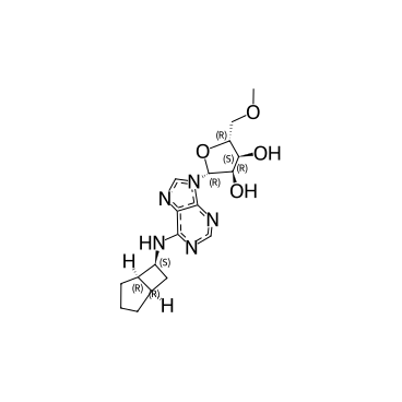 COC[C@H]1O[C@@H](n2cnc3c(N[C@H]4C[C@H]5CCC[C@H]54)ncnc32)[C@H](O)[C@@H]1O